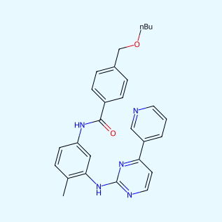 CCCCOCc1ccc(C(=O)Nc2ccc(C)c(Nc3nccc(-c4cccnc4)n3)c2)cc1